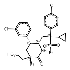 CC[C@@]1(CC(=O)O)C[C@H](c2cccc(Cl)c2)[C@H](C[C@@](c2ccc(Cl)cc2)(C2CC2)S(=O)(=O)CC)NC1=O